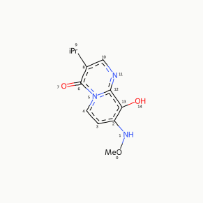 CONc1ccn2c(=O)c(C(C)C)cnc2c1O